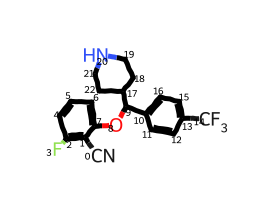 N#Cc1c(F)cccc1OC(c1ccc(C(F)(F)F)cc1)C1CCNCC1